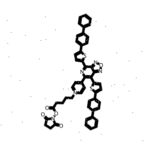 O=C(CCCC[n+]1ccc(-c2nc(-c3ccc(-c4ccc(-c5ccccc5)cc4)s3)c3nonc3c2-c2ccc(-c3ccc(-c4ccccc4)cc3)s2)cc1)ON1C(=O)CCC1=O